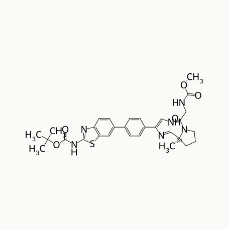 COC(=O)NCC(=O)N1CCC[C@@]1(C)c1nc(-c2ccc(-c3ccc4nc(NC(=O)OC(C)(C)C)sc4c3)cc2)c[nH]1